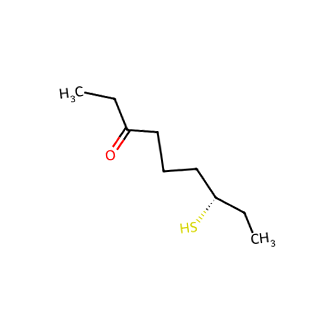 CCC(=O)CCC[C@@H](S)CC